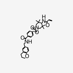 C=CC(=O)NC1C(C)(C)CN(S(=O)(=O)c2ccc(C(=O)NCc3ccc4c(c3)CCCO4)cc2)CC1(C)C